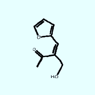 CC(=O)C(=Cc1ccco1)CO